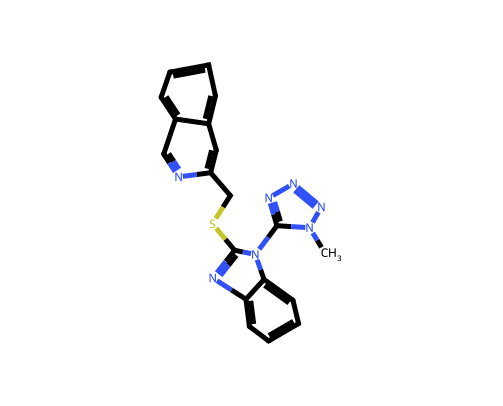 Cn1nnnc1-n1c(SCc2cc3ccccc3cn2)nc2ccccc21